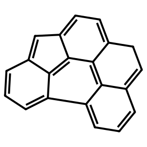 C1=c2cccc3c4cccc5c4c4c(ccc1c4c23)CC=5